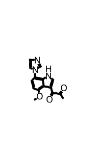 COc1ccc(-n2ccnc2)c2[nH]cc(C(=O)C(C)=O)c12